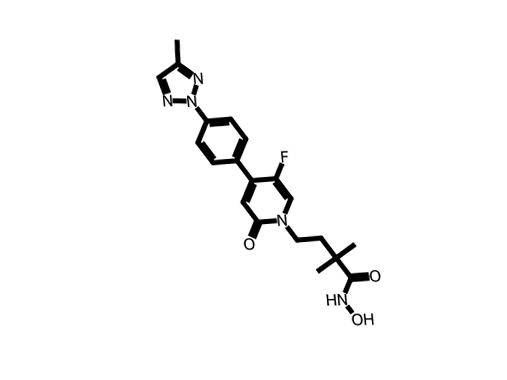 Cc1cnn(-c2ccc(-c3cc(=O)n(CCC(C)(C)C(=O)NO)cc3F)cc2)n1